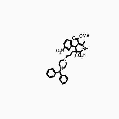 COC(=O)C1=C(C)NC(C)C(CCCN2CCN(C(c3ccccc3)c3ccccc3)CC2)(C(=O)O)C1c1cccc([N+](=O)[O-])c1